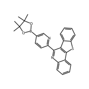 CC1(C)OB(c2ccc(-c3nc4ccccc4c4sc5ccccc5c34)nc2)OC1(C)C